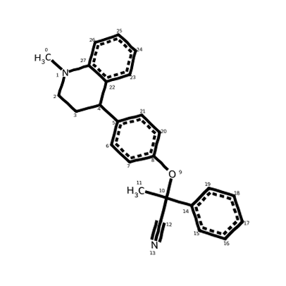 CN1CCC(c2ccc(OC(C)(C#N)c3ccccc3)cc2)c2ccccc21